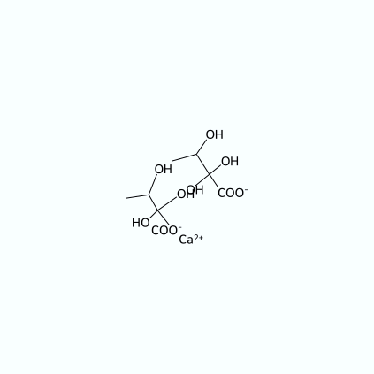 CC(O)C(O)(O)C(=O)[O-].CC(O)C(O)(O)C(=O)[O-].[Ca+2]